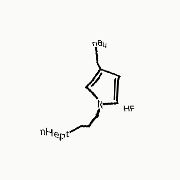 CCCCCCCCn1ccc(CCCC)c1.F